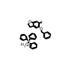 C[PH](c1ccccc1)(c1ccccc1)c1ccccc1.Ic1cc2c(cc1OCc1ccccc1)CCO2